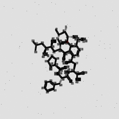 CC[C@H](C)[C@H](N)C(=O)c1c(CN)ncc(C(=O)C[C@H](NC(=O)[C@H](Cc2ccccc2)NC(=O)[C@@H]2CCCN2)C(=O)O)c1C(=O)C(C[C@H](O)[C@@H](N)CC(C)C)C(C)C